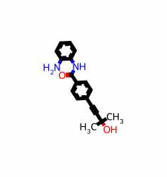 CC(C)(O)C#Cc1ccc(C(=O)Nc2ccccc2N)cc1